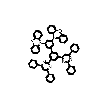 c1ccc(-c2cc(-c3cc(-c4cc(N5c6ccccc6Oc6ccccc65)cc(N5c6ccccc6Sc6ccccc65)c4)cc(-c4nc(-c5ccccc5)cc(-c5ccccc5)n4)c3)nc(-c3ccccc3)n2)cc1